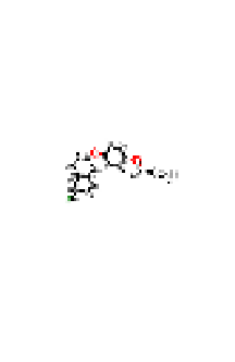 CC(Oc1ccc(OC2CCc3cc(F)ccc3C2)cc1)C(=O)O